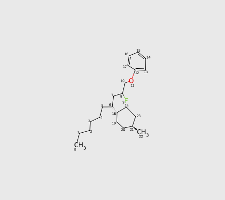 CCCCCCC(CC(F)COc1ccccc1)[C@H]1CC[C@H](C)CC1